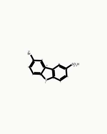 O=S(=O)(O)c1ccc2sc3ccc(Br)cc3c2c1